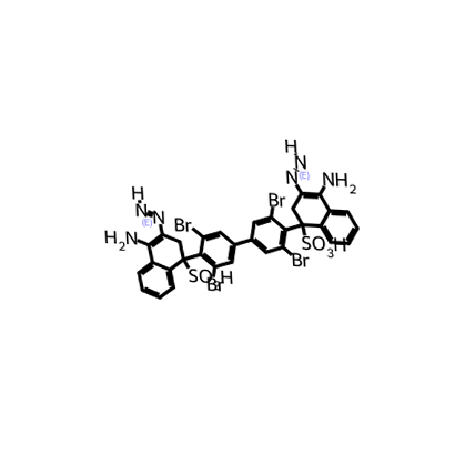 [H]/N=N/C1=C(N)c2ccccc2C(c2c(Br)cc(-c3cc(Br)c(C4(S(=O)(=O)O)CC(/N=N/[H])=C(N)c5ccccc54)c(Br)c3)cc2Br)(S(=O)(=O)O)C1